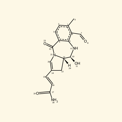 Cc1ccc2c(c1C=O)N[C@@H](O)[C@@H]1CC(/C=C/C(N)=O)=CN1C2=O